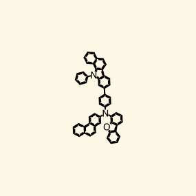 c1ccc(-n2c3cc(-c4ccc(N(c5ccc6c(ccc7ccccc76)c5)c5cccc6c5oc5ccccc56)cc4)ccc3c3ccc4ccccc4c32)cc1